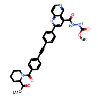 COC(=O)C1CCCCN1C(=O)c1ccc(C#Cc2ccc(-c3cc(C(=O)NNC(=O)OC(C)(C)C)c4cnccc4n3)cc2)cc1